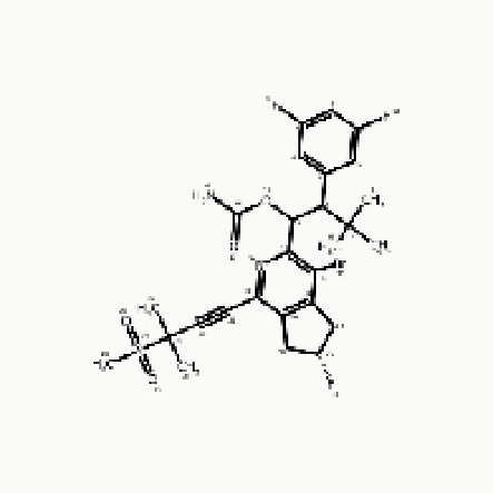 CC(C)(C)C(c1cc(F)cc(F)c1)C(OC(N)=O)c1nc(C#CC(C)(C)S(C)(=O)=O)c2c(c1Br)C[C@H](F)C2